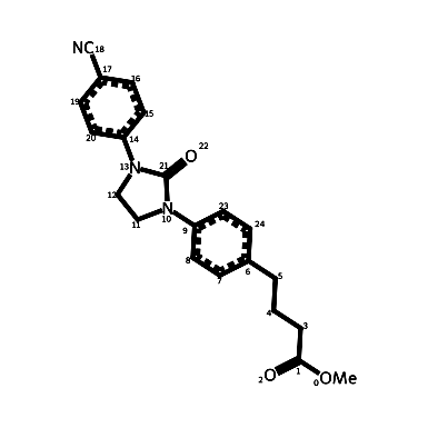 COC(=O)CCCc1ccc(N2CCN(c3ccc(C#N)cc3)C2=O)cc1